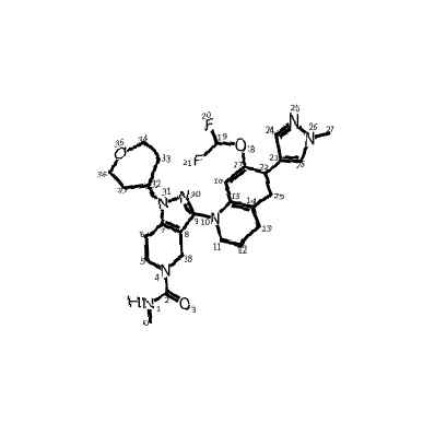 CNC(=O)N1CCc2c(c(N3CCCC4=C3C=C(OC(F)F)C(c3cnn(C)c3)C4)nn2C2CCOCC2)C1